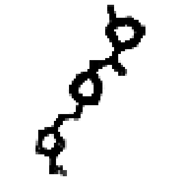 NC1=NC(CCc2ccc(NC(=O)c3cncc(F)c3)cc2)CO1